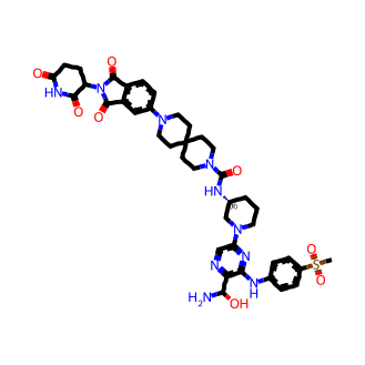 CS(=O)(=O)c1ccc(Nc2nc(N3CCC[C@@H](NC(=O)N4CCC5(CC4)CCN(c4ccc6c(c4)C(=O)N(C4CCC(=O)NC4=O)C6=O)CC5)C3)cnc2C(N)O)cc1